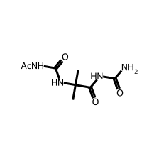 CC(=O)NC(=O)NC(C)(C)C(=O)NC(N)=O